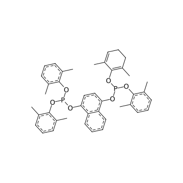 CC1=CCCC(C)=C1OP(Oc1c(C)cccc1C)Oc1ccc(OP(Oc2c(C)cccc2C)Oc2c(C)cccc2C)c2ccccc12